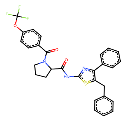 O=C(Nc1nc(-c2ccccc2)c(Cc2ccccc2)s1)C1CCCN1C(=O)c1ccc(OC(F)(F)F)cc1